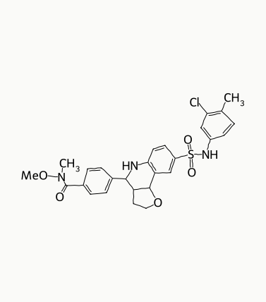 CON(C)C(=O)c1ccc(C2Nc3ccc(S(=O)(=O)Nc4ccc(C)c(Cl)c4)cc3C3OCCC23)cc1